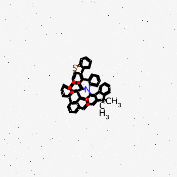 CC1(C)c2ccccc2-c2c(N(c3ccccc3-c3cccc4cccc(-c5ccccc5)c34)c3ccccc3-c3cccc4sc5ccccc5c34)cccc21